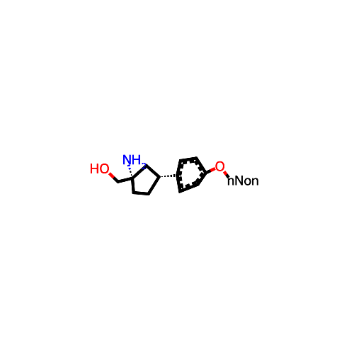 CCCCCCCCCOc1ccc([C@@H]2CC[C@@](N)(CO)C2)cc1